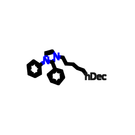 CCCCCCCCCCCCCCCN1C=CN(c2ccccc2)C1c1ccccc1